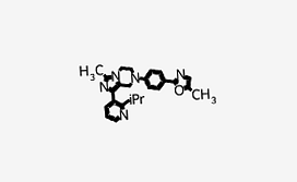 Cc1cnc(-c2ccc(N3CCn4c(C)nc(-c5cccnc5C(C)C)c4C3)cc2)o1